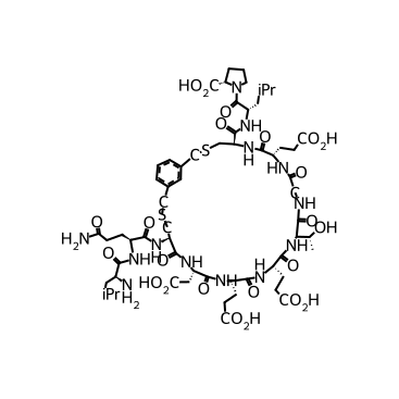 CC(C)C[C@H](NC(=O)[C@@H]1CSCc2cccc(c2)CSC[C@H](NC(=O)[C@H](CCC(N)=O)NC(=O)[C@@H](N)CC(C)C)C(=O)N[C@@H](CC(=O)O)C(=O)N[C@@H](CCC(=O)O)C(=O)N[C@@H](CCC(=O)O)C(=O)N[C@@H]([C@@H](C)O)C(=O)NCC(=O)N[C@@H](CCC(=O)O)C(=O)N1)C(=O)N1CCC[C@H]1C(=O)O